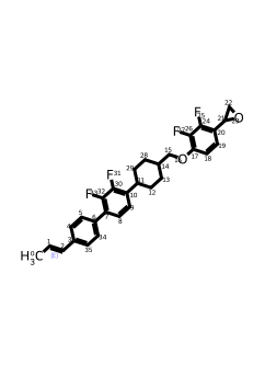 C/C=C/c1ccc(-c2ccc(C3CCC(COc4ccc(C5CO5)c(F)c4F)CC3)c(F)c2F)cc1